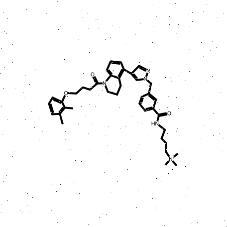 Cc1cccc(OCCCC(=O)N2CCCc3c(-c4cnn(Cc5cccc(C(=O)NCCCC[N+](C)(C)C)c5)c4)cccc32)c1C